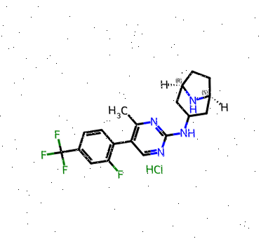 Cc1nc(NC2C[C@H]3CC[C@@H](C2)N3)ncc1-c1ccc(C(F)(F)F)cc1F.Cl